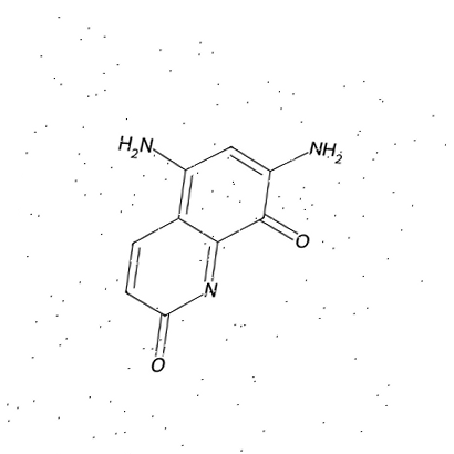 NC1=CC(N)=C2C=CC(=O)N=C2C1=O